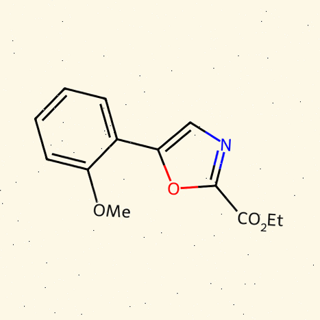 CCOC(=O)c1ncc(-c2ccccc2OC)o1